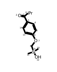 CC(C)C(=O)c1ccc(OC[Si](C)(C)O)cc1